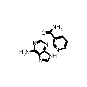 NC(=O)c1cccnc1.Nc1ncnc2[nH]cnc12